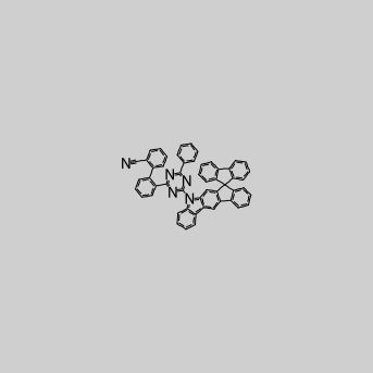 N#Cc1ccccc1-c1ccccc1-c1nc(-c2ccccc2)nc(-n2c3ccccc3c3cc4c(cc32)C2(c3ccccc3-c3ccccc32)c2ccccc2-4)n1